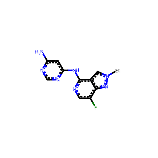 CCn1cc2c(Nc3cc(N)ncn3)ncc(F)c2n1